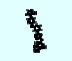 CC(C)(C)OC(=O)NC(CO)Cc1nc(-c2cccc(Oc3ccc(-c4ccn[nH]4)cn3)c2)no1